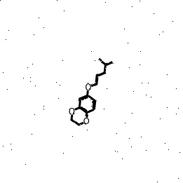 CC(C)CCCOc1ccc2c(c1)OCCO2